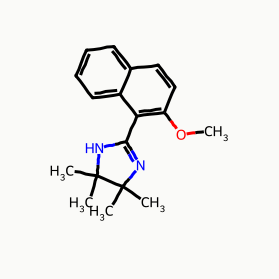 COc1ccc2ccccc2c1C1=NC(C)(C)C(C)(C)N1